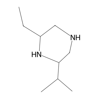 CCC1CNCC(C(C)C)N1